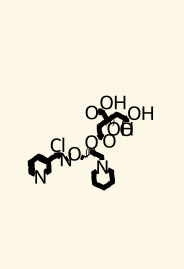 O=C(O)C[C@@](O)(CC(=O)O[C@@H](CON=C(Cl)c1cccnc1)CN1CCCCC1)C(=O)O